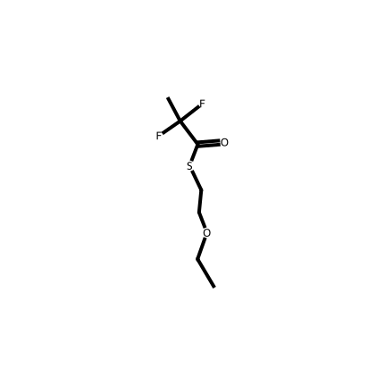 CCOCCSC(=O)C(C)(F)F